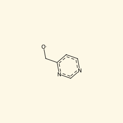 [O]Cc1ccncn1